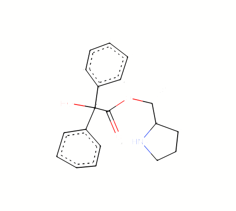 C[C@@H](OC(=O)C(O)(c1ccccc1)c1ccccc1)C1CCCN1